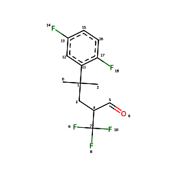 CC(C)(CC(C=O)C(F)(F)F)c1cc(F)ccc1F